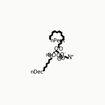 CCCCC/C=C\C/C=C\C/C=C\C/C=C\CCCC(=O)O[C@H](CO[14C](=O)CCCCCCCCCCCCCCCCC)COP(=O)([O-])OCC[N+](C)(C)C